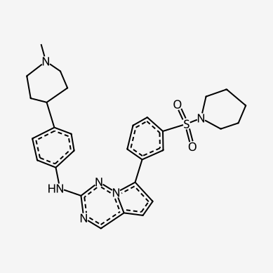 CN1CCC(c2ccc(Nc3ncc4ccc(-c5cccc(S(=O)(=O)N6CCCCC6)c5)n4n3)cc2)CC1